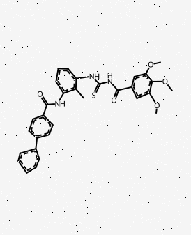 COc1cc(C(=O)NC(=S)Nc2cccc(NC(=O)c3ccc(-c4ccccc4)cc3)c2C)cc(OC)c1OC